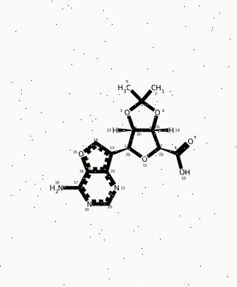 CC1(C)O[C@@H]2[C@H](O1)[C@@H](C(=O)O)O[C@H]2c1coc2c(N)ncnc12